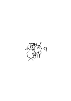 COC1O[C@@H]2OC(C)(C)CCC3[C@H](C)CCC([C@H]1C)[C@]32OO